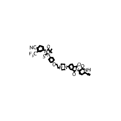 C#Cc1ccc(N2C(=O)c3ccc(N4CCN(CCOc5ccc(N6C(=S)N(c7ccc(C#N)c(C(F)(F)F)c7)C(=O)C6(C)C)cc5)CC4)cc3C2=O)c(=O)[nH]1